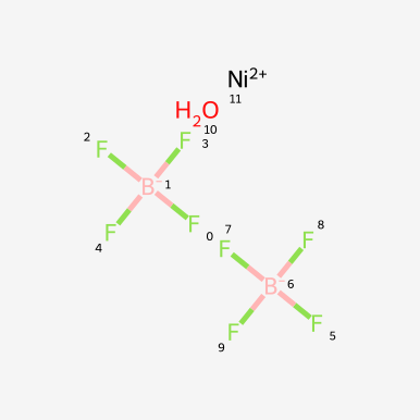 F[B-](F)(F)F.F[B-](F)(F)F.O.[Ni+2]